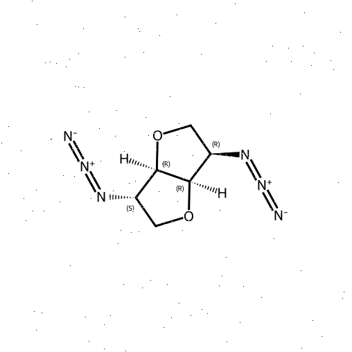 [N-]=[N+]=N[C@H]1CO[C@H]2[C@@H]1OC[C@H]2N=[N+]=[N-]